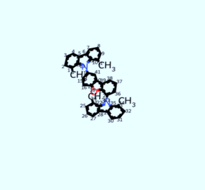 Cc1cccc2c3cccc(C)c3n(-c3ccc4oc5c(-n6c7c(C)cccc7c7cccc(C)c76)cccc5c4c3)c12